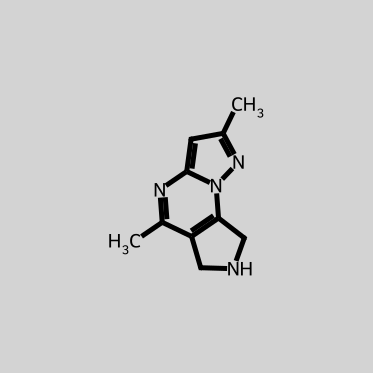 Cc1cc2nc(C)c3c(n2n1)CNC3